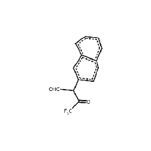 O=CC(C(=O)C(F)(F)F)c1ccc2ccccc2c1